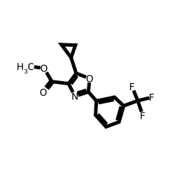 COC(=O)c1nc(-c2cccc(C(F)(F)F)c2)oc1C1CC1